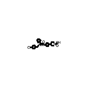 O=C(Nc1ccc(C2CCN(C(=O)S)CC2)cc1)C(NCCc1ccc(Cl)cc1)c1ccccc1